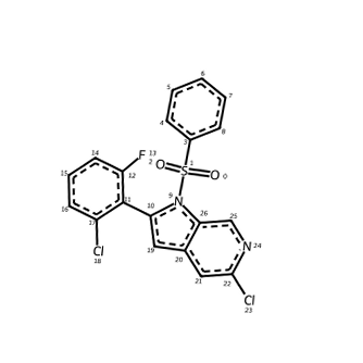 O=S(=O)(c1ccccc1)n1c(-c2c(F)cccc2Cl)cc2cc(Cl)ncc21